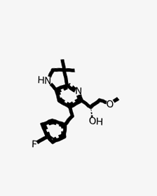 COC[C@H](O)c1nc2c(cc1Cc1ccc(F)cc1)NCC2(C)C